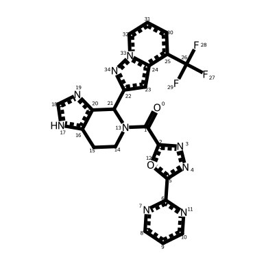 O=C(c1nnc(-c2ncccn2)o1)N1CCc2[nH]cnc2C1c1cc2c(C(F)(F)F)cccn2n1